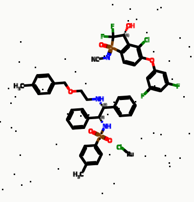 Cc1ccc(COCCN[C@H](c2ccccc2)[C@H](NS(=O)(=O)c2ccc(C)cc2)c2ccccc2)cc1.N#CN=S1(=O)c2ccc(Oc3cc(F)cc(F)c3)c(Cl)c2[C@@H](O)C1(F)F.[Cl][Ru]